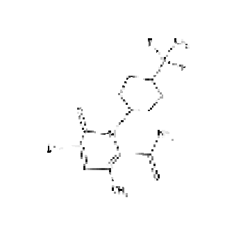 Cc1cc(Br)c(=O)n(C2CCC(C(F)(F)C(F)(F)F)CC2)c1C(N)=O